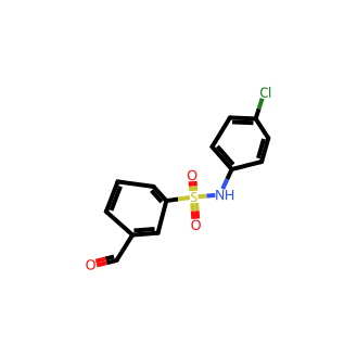 O=Cc1cccc(S(=O)(=O)Nc2ccc(Cl)cc2)c1